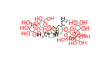 C=C1CC2CCC3[C@](C)(C(=O)OC4OC(CO)C(O)C(O)C4OC4OC(CO)C(O)C(O)C4O)CCC[C@@]3(S)[C@@H]2CCC1OC1OC(CO)C(O)C(OC2OC(CO)C(O)C(O)C2O)C1OC1OC(CO)C(O)C(O)C1O